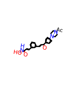 CC(=O)N1CCN(c2ccc(C(=O)C=Cc3cccc(C=CC(=O)NO)c3)cc2)CC1